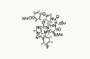 CN[C@@H](C)C(=O)N[C@H](C(=O)N1C[C@@H](Oc2ccc(OC)cc2)C[C@H]1CN(CCc1ccc(F)cc1)C(=O)c1cn(C)cn1)C(C)(C)C